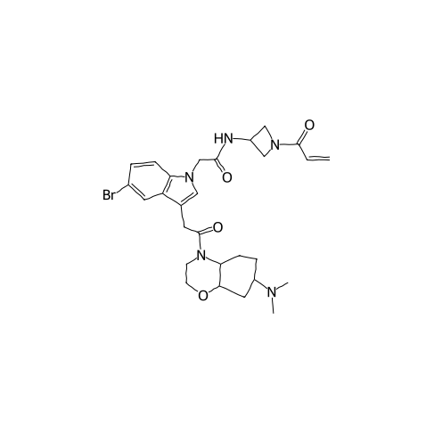 C=CC(=O)N1CC(NC(=O)Cn2cc(CC(=O)N3CCOC4CC(N(C)C)CCC43)c3cc(Br)ccc32)C1